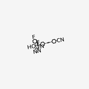 N#Cc1ccc(C#Cc2ccc(C(F)(F)C(O)(c3cncnc3)c3ccc(F)cc3F)nc2)cc1